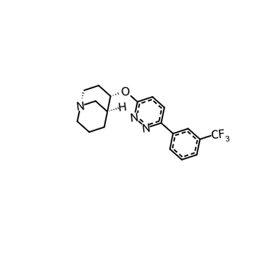 FC(F)(F)c1cccc(-c2ccc(O[C@H]3CC[N@@]4CCC[C@H]3C4)nn2)c1